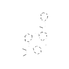 C=CC(=O)Cc1cccc(Nc2nc(Nc3ccccc3)ncc2C(=O)Nc2ccccc2)c1